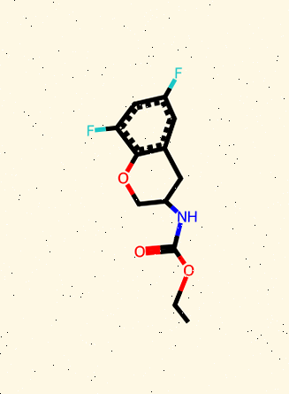 CCOC(=O)NC1COc2c(F)cc(F)cc2C1